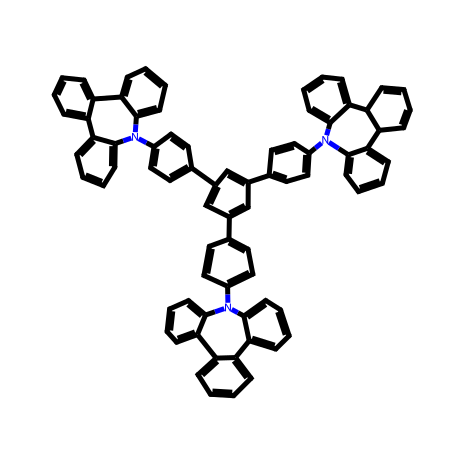 C1=CC2c3ccccc3N(c3ccc(-c4cc(-c5ccc(N6c7ccccc7-c7ccccc7-c7ccccc76)cc5)cc(-c5ccc(N6c7ccccc7-c7ccccc7-c7ccccc76)cc5)c4)cc3)c3ccccc3C2C=C1